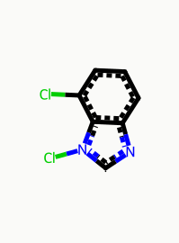 Clc1cccc2n[c]n(Cl)c12